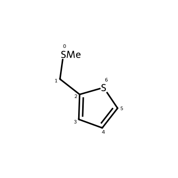 CSCc1cccs1